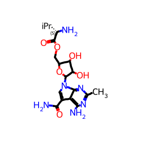 Cc1nc(N)c2c(C(N)=O)cn(C3OC(COC(=O)[C@@H](N)C(C)C)C(O)C3O)c2n1